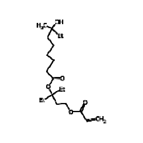 C=CC(=O)OCCC(CC)(CC)OC(=O)CCCCCC(C)(O)CC